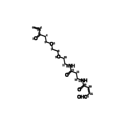 C=NC(=O)CCOCCOCCNC(=O)CCNC(=O)/C=C\C=O